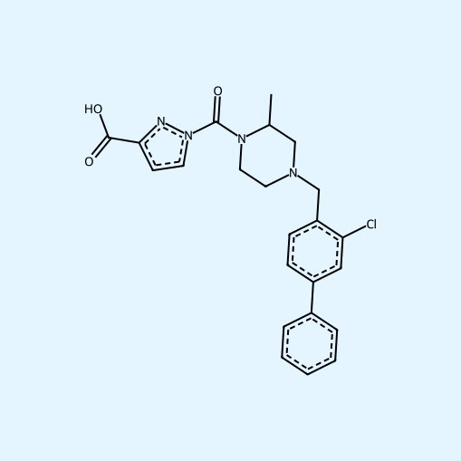 CC1CN(Cc2ccc(-c3ccccc3)cc2Cl)CCN1C(=O)n1ccc(C(=O)O)n1